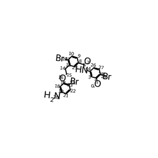 COc1cc(NC(=O)c2ccc(Br)c(CCOc3cc(N)ccc3Br)c2)ccc1Br